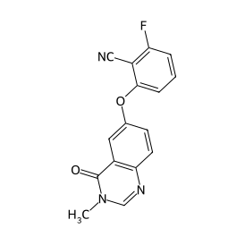 Cn1cnc2ccc(Oc3cccc(F)c3C#N)cc2c1=O